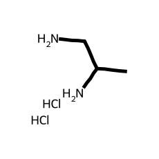 CC(N)CN.Cl.Cl